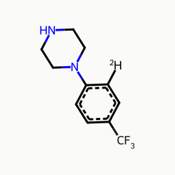 [2H]c1cc(C(F)(F)F)ccc1N1CCNCC1